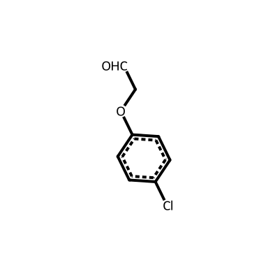 O=CCOc1ccc(Cl)cc1